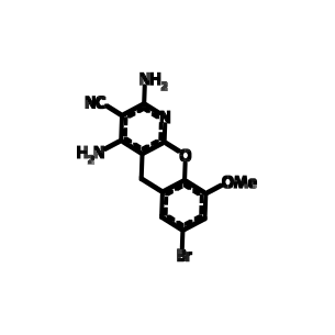 COc1cc(Br)cc2c1Oc1nc(N)c(C#N)c(N)c1C2